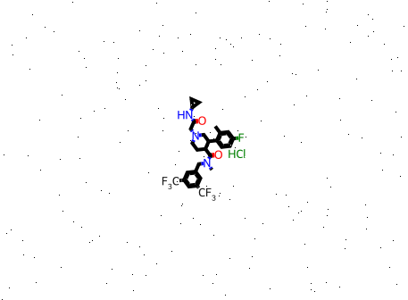 Cc1cc(F)ccc1C1CN(CC(=O)NC2CC2)CCC1C(=O)N(C)Cc1cc(C(F)(F)F)cc(C(F)(F)F)c1.Cl